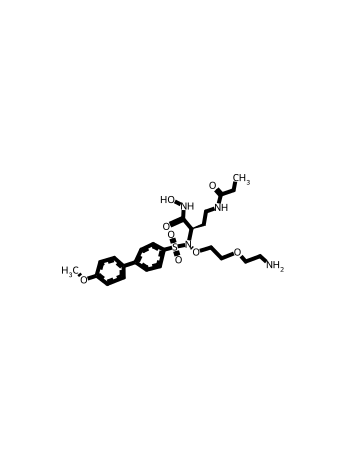 CCC(=O)NCC[C@H](C(=O)NO)N(OCCOCCN)S(=O)(=O)c1ccc(-c2ccc(OC)cc2)cc1